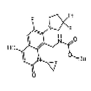 CCC1(F)CCN(c2c(F)cc3c(O)cc(=O)n(C4CC4)c3c2CNC(=O)OC(C)(C)C)C1